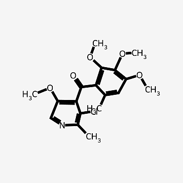 COc1cc(C)c(C(=O)c2c(OC)cnc(C)c2Cl)c(OC)c1OC